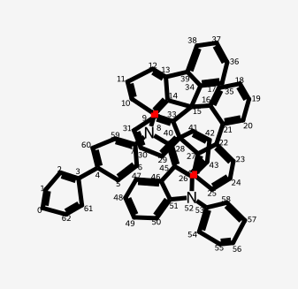 c1ccc(-c2ccc(N(c3cccc4c3C3(c5ccccc5-c5ccccc5-c5ccccc53)c3ccccc3-4)c3cccc4c3c3ccccc3n4-c3ccccc3)cc2)cc1